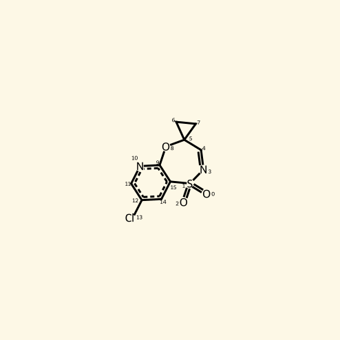 O=S1(=O)N=CC2(CC2)Oc2ncc(Cl)cc21